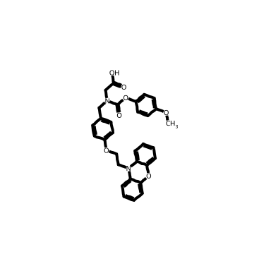 COc1ccc(OC(=O)N(CC(=O)O)Cc2ccc(OCCN3c4ccccc4Oc4ccccc43)cc2)cc1